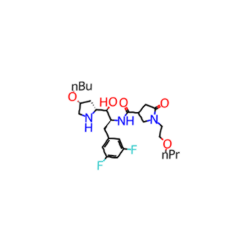 CCCCO[C@H]1CN[C@@H]([C@@H](O)[C@H](Cc2cc(F)cc(F)c2)NC(=O)C2CC(=O)N(CCOCCC)C2)C1